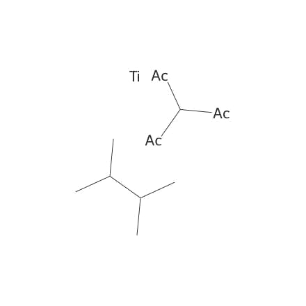 CC(=O)C(C(C)=O)C(C)=O.CC(C)C(C)C.[Ti]